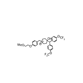 COCCOc1ccc(C[N+]2([O-])CCC(O)(C(c3ccc(OC(F)(F)F)cc3)c3ccc(OC(F)(F)F)cc3)CC2)cc1